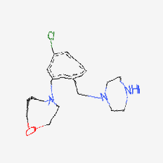 Clc1ccc(CN2CCNCC2)c(N2CCOCC2)c1